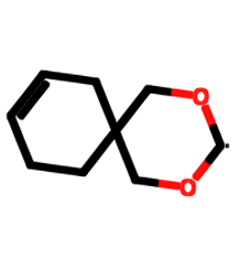 [CH]1OCC2(CC=CCC2)CO1